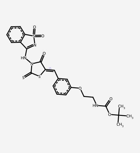 CC(C)(C)OC(=O)NCCOc1cccc(/C=C2\SC(=S)N(NC3=NS(=O)(=O)c4ccccc43)C2=O)c1